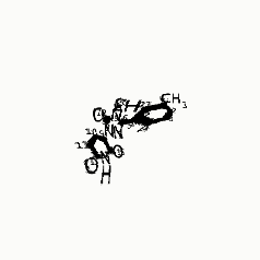 Cc1cccc(-c2nn(C3CCC(=O)NC3=O)c(=O)n2C)c1